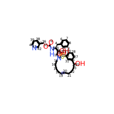 O=C(N[C@@H](Cc1ccccc1)[C@H](O)CN1CCCC/C=C/CCCC(O)c2cccc(c2)S1(=O)=O)OCc1cccnc1